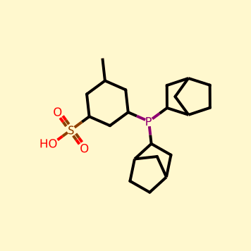 CC1CC(P(C2CC3CCC2C3)C2CC3CCC2C3)CC(S(=O)(=O)O)C1